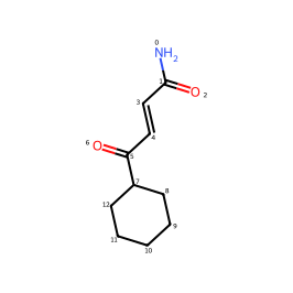 NC(=O)/C=C/C(=O)C1CCCCC1